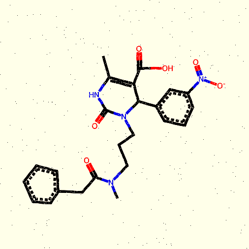 CC1=C(C(=O)O)C(c2cccc([N+](=O)[O-])c2)N(CCCN(C)C(=O)Cc2ccccc2)C(=O)N1